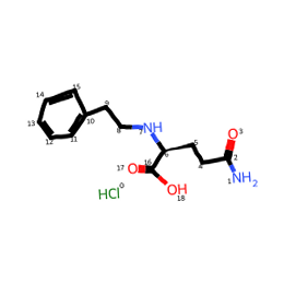 Cl.NC(=O)CC[C@H](NCCc1ccccc1)C(=O)O